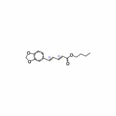 CCCCOC(=O)/C=C/C=C/c1ccc2c(c1)OCO2